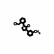 Cc1cccc(N2CCN(c3ccccc3CCl)C2=O)c1